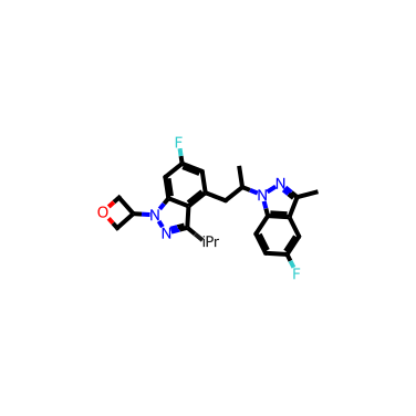 Cc1nn(C(C)Cc2cc(F)cc3c2c(C(C)C)nn3C2COC2)c2ccc(F)cc12